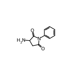 NC1CC(=O)N(c2ccccc2)C1=O